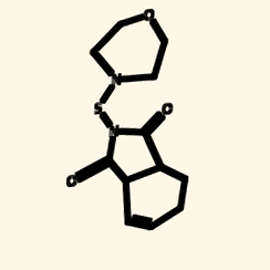 O=C1C2C=CCCC2C(=O)N1SN1CCOCC1